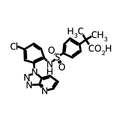 CC(C)(C(=O)O)c1ccc(S(=O)(=O)Nc2ccc(Cl)cc2-n2nnc3ncccc32)cc1